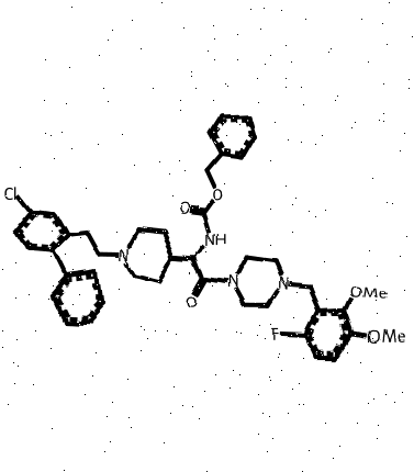 COc1ccc(F)c(CN2CCN(C(=O)[C@H](NC(=O)OCc3ccccc3)C3CCN(CCc4cc(Cl)ccc4-c4ccccc4)CC3)CC2)c1OC